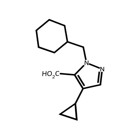 O=C(O)c1c(C2CC2)cnn1CC1CCCCC1